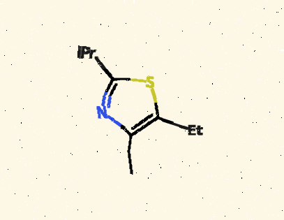 CCc1sc(C(C)C)nc1C